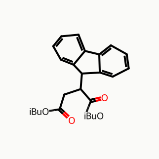 CC(C)COC(=O)CC(C(=O)OCC(C)C)C1c2ccccc2-c2ccccc21